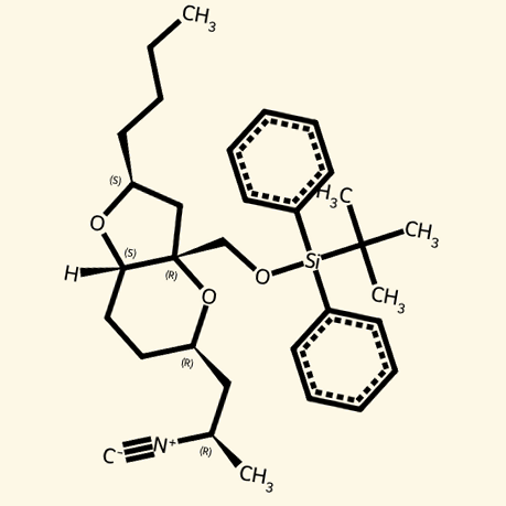 [C-]#[N+][C@H](C)C[C@H]1CC[C@@H]2O[C@@H](CCCC)C[C@]2(CO[Si](c2ccccc2)(c2ccccc2)C(C)(C)C)O1